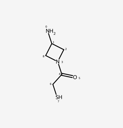 NC1CN(C(=O)CS)C1